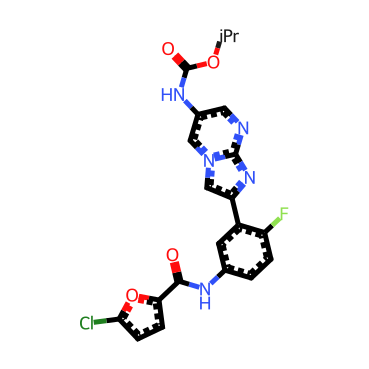 CC(C)OC(=O)Nc1cnc2nc(-c3cc(NC(=O)c4ccc(Cl)o4)ccc3F)cn2c1